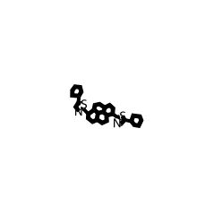 c1ccc(-c2cnc(-c3ccc4ccc5c(-c6ncc(-c7ccccc7)s6)ccc6ccc3c4c65)s2)cc1